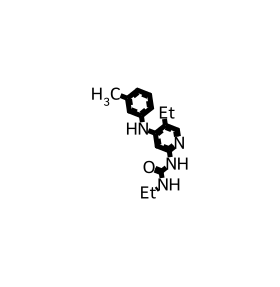 CCNC(=O)Nc1cc(Nc2cccc(C)c2)c(CC)cn1